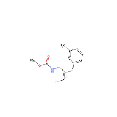 Cc1cccc(C/C(=C/F)CNC(=O)OC(C)(C)C)c1